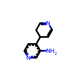 Nc1cnccc1C1C=CN=CC1